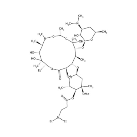 CC[C@H]1OC(=O)[C@H](C)[C@@H](O[C@H]2C[C@@](C)(OC)[C@@H](OC(=O)CCN(CC)CC)[C@H](C)O2)[C@H](C)[C@@H](O[C@@H]2O[C@H](C)C[C@H](N(C)C)[C@H]2O)[C@](C)(O)C[C@@H](C)CN(C)[C@H](C)[C@@H](O)[C@]1(C)O